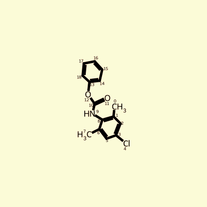 Cc1cc(Cl)cc(C)c1NC(=O)Oc1ccccc1